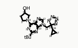 CC(C)(C)c1nc(N2CCC(O)C2)c2ncn(CC3(C4CC4)N=NN=N3)c2n1